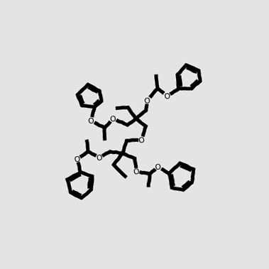 CCC(COCC(CC)(COC(C)Oc1ccccc1)COC(C)Oc1ccccc1)(COC(C)Oc1ccccc1)COC(C)Oc1ccccc1